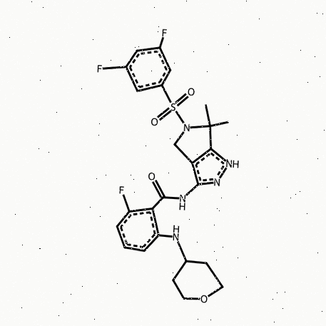 CC1(C)c2[nH]nc(NC(=O)c3c(F)cccc3NC3CCOCC3)c2CN1S(=O)(=O)c1cc(F)cc(F)c1